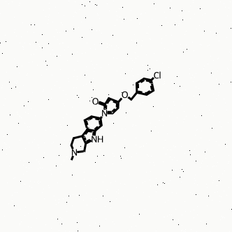 CN1CCc2c([nH]c3cc(-n4ccc(OCc5ccc(Cl)cc5)cc4=O)ccc23)C1